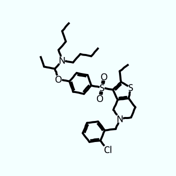 CCCCN(CCCC)C(CC)Oc1ccc(S(=O)(=O)c2c(CC)sc3c2CN(Cc2ccccc2Cl)CC3)cc1